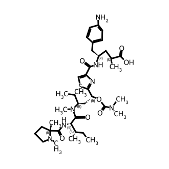 CC[C@H](C)[C@H](NC(=O)[C@@]1(C)CCCN1C)C(=O)N(C)[C@H](C[C@@H](OC(=O)N(C)C)c1nc(C(=O)N[C@@H](Cc2ccc(N)cc2)C[C@H](C)C(=O)O)cs1)C(C)C